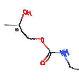 CCNC(=O)OC[C@H](C)O